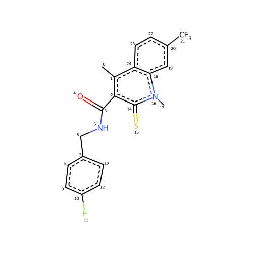 Cc1c(C(=O)NCc2ccc(F)cc2)c(=S)n(C)c2cc(C(F)(F)F)ccc12